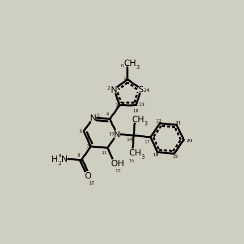 Cc1nc(C2=NC=C(C(N)=O)C(O)N2C(C)(C)c2ccccc2)cs1